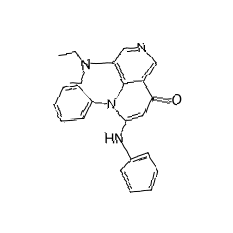 CCN(CC)c1cncc2c(=O)cc(Nc3ccccc3)n(-c3ccccc3)c12